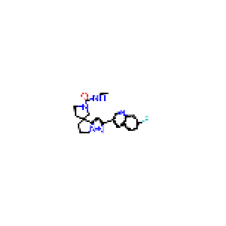 CCNC(=O)N1CCC2(CCCn3nc(-c4cnc5cc(F)ccc5c4)cc32)C1